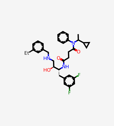 CCc1cccc(CNC[C@H](O)[C@@H](Cc2cc(F)cc(F)c2)NC(=O)CCC(=O)N(c2ccccc2)C(C)C2CC2)c1